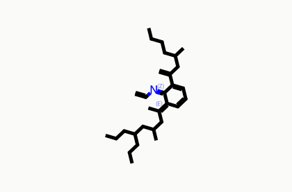 C=C/N=C1/C(C(=C)CC(C)CCCC)=CC=C/C1=C(/C)CC(C)CC(CCC)CCC